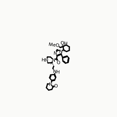 COC[C@]1(O)CCCC[C@H]1n1cnc(C(=O)N2CCNC[C@H]2CCNc2ccc(N3CCCCC3=O)cc2)c1-c1ccccc1